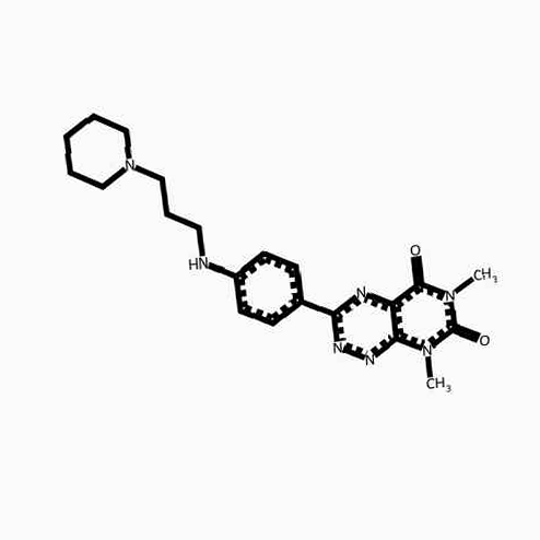 Cn1c(=O)c2nc(-c3ccc(NCCCN4CCCCC4)cc3)nnc2n(C)c1=O